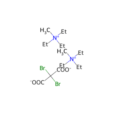 CC[N+](C)(CC)CC.CC[N+](C)(CC)CC.O=C([O-])C(Br)(Br)C(=O)[O-]